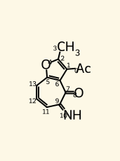 CC(=O)c1c(C)oc2c1C(=O)C(=N)C=C=C2